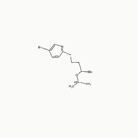 C[SiH](C)OC(CCCc1ccc(Br)cn1)C(C)(C)C